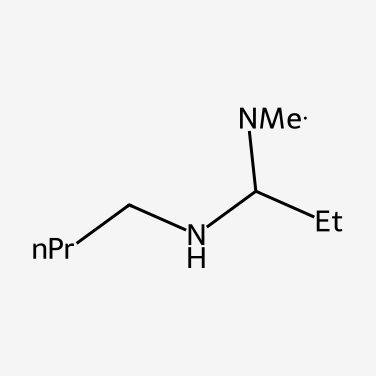 CCCCNC(CC)[N]C